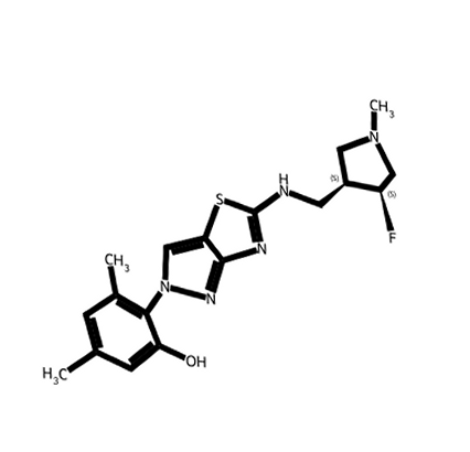 Cc1cc(C)c(-n2cc3sc(NC[C@H]4CN(C)C[C@H]4F)nc3n2)c(O)c1